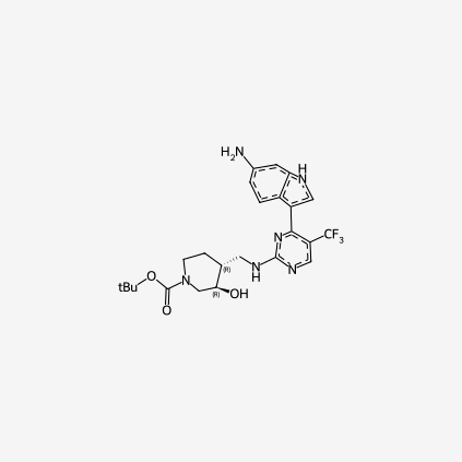 CC(C)(C)OC(=O)N1CC[C@H](CNc2ncc(C(F)(F)F)c(-c3c[nH]c4cc(N)ccc34)n2)[C@@H](O)C1